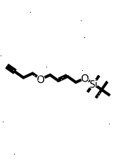 C#CCCOCC=CCO[Si](C)(C)C(C)(C)C